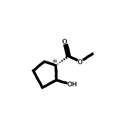 COC(=O)[C@H]1CCCC1O